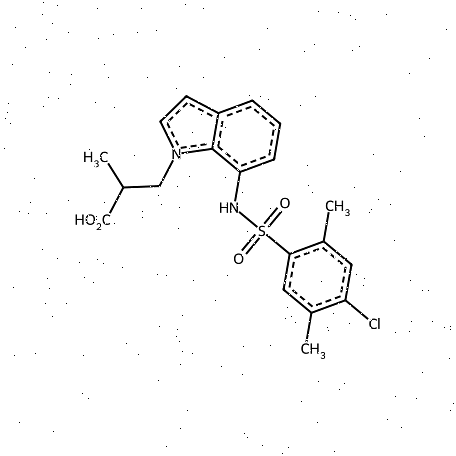 Cc1cc(S(=O)(=O)Nc2cccc3ccn(CC(C)C(=O)O)c23)c(C)cc1Cl